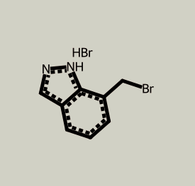 Br.BrCc1cccc2cn[nH]c12